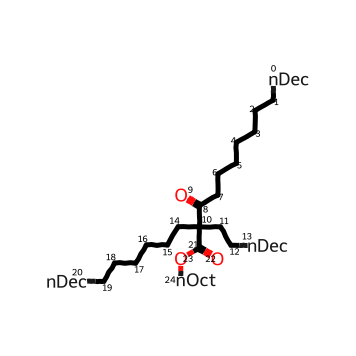 CCCCCCCCCCCCCCCCCC(=O)C(CCCCCCCCCCCC)(CCCCCCCCCCCCCCCC)C(=O)OCCCCCCCC